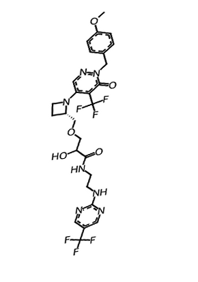 COc1ccc(Cn2ncc(N3CC[C@H]3COCC(O)C(=O)NCCNc3ncc(C(F)(F)F)cn3)c(C(F)(F)F)c2=O)cc1